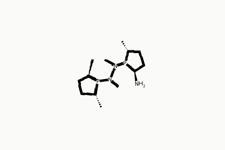 C[C@@H]1CC[C@@H](C)P1N(C)N(C)P1[C@H](C)CC[C@H]1N